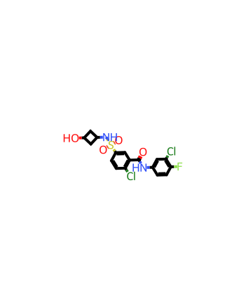 O=C(Nc1ccc(F)c(Cl)c1)c1cc(S(=O)(=O)NC2CC(O)C2)ccc1Cl